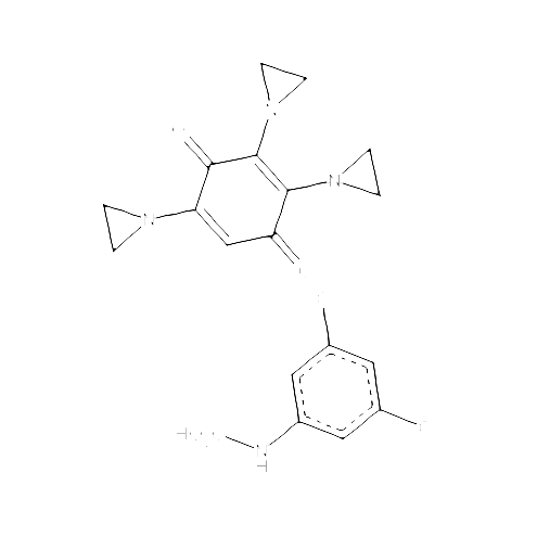 O=C(O)Nc1cc(Cl)cc(Cl)c1.O=C1C=C(N2CC2)C(=O)C(N2CC2)=C1N1CC1